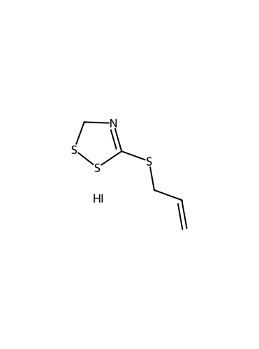 C=CCSC1=NCSS1.I